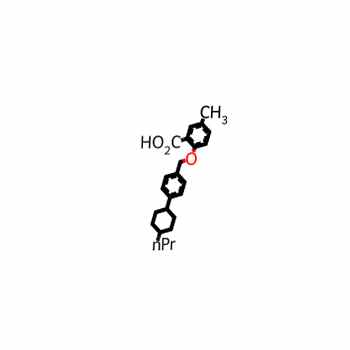 CCCC1CCC(c2ccc(COc3ccc(C)cc3C(=O)O)cc2)CC1